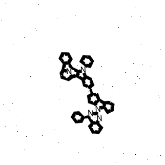 c1ccc(-c2nc(-n3c4ccccc4c4cc(-c5ccc6c(c5)c5c(c7c8ccccc8c8cccc5n87)n6-c5ccccc5)ccc43)nc3ccccc23)cc1